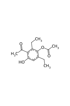 CCc1cc(O)c(C(C)=O)c(CC)c1OC(C)=O